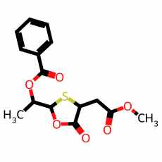 COC(=O)CC1SC(C(C)OC(=O)c2ccccc2)OC1=O